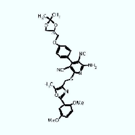 [C-]#[N+]c1c(N)nc(SCc2nc(-c3cc(OC)ccc3OC)oc2C)c(C#N)c1-c1ccc(OC[C@H]2COC(C)(C)O2)cc1